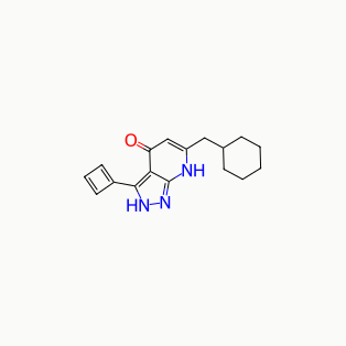 O=c1cc(CC2CCCCC2)[nH]c2n[nH]c(C3=CC=C3)c12